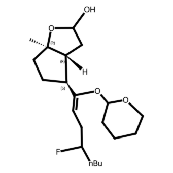 CCCCC(F)CC=C(OC1CCCCO1)[C@H]1CC[C@@]2(C)OC(O)C[C@H]12